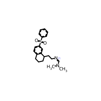 CN(C)/C=N\CCC1CCCc2ccc(S(=O)(=O)c3ccccc3)cc21